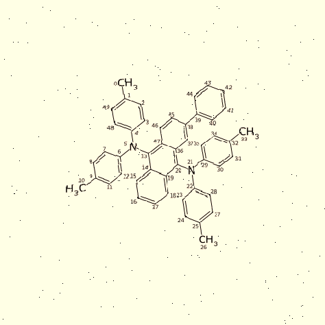 Cc1ccc(N(c2ccc(C)cc2)c2c3ccccc3c(N(c3ccc(C)cc3)c3ccc(C)cc3)c3cc(-c4ccccc4)ccc23)cc1